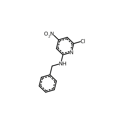 O=[N+]([O-])c1cc(Cl)nc(NCc2ccccc2)c1